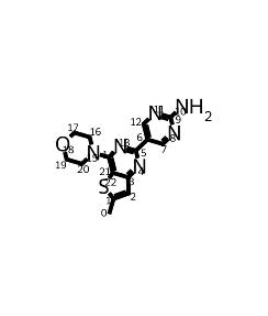 Cc1cc2nc(-c3cnc(N)nc3)nc(N3CCOCC3)c2s1